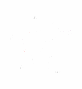 CCCc1cc(CC)c2op(C(C)C)oc3c(C(C)C)cc(P)cc3c2c1